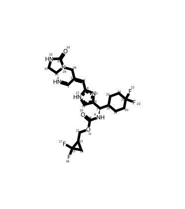 N=C/C(=C\c1nc([C@@H](NC(=O)OCC2CC2(F)F)C2CCC(F)(F)CC2)c[nH]1)CN1CCNC1=O